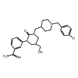 N=C(N)c1cccc(N2CC(CO)CN(CC3CCN(Cc4ccc(Cl)cc4)CC3)C2=O)c1